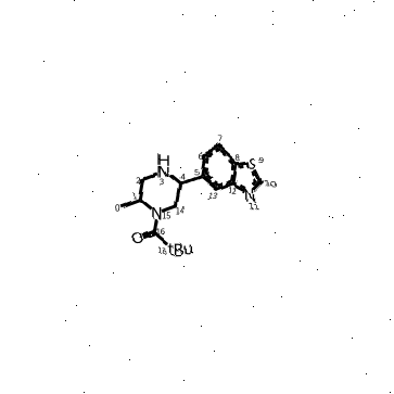 CC1CNC(c2ccc3scnc3c2)CN1C(=O)C(C)(C)C